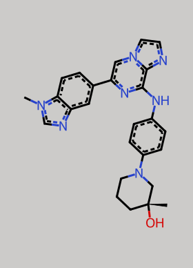 Cn1cnc2cc(-c3cn4ccnc4c(Nc4ccc(N5CCC[C@@](C)(O)C5)cc4)n3)ccc21